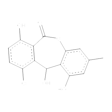 Cc1cc(O)c2c(c1)OC(=O)c1c(O)ccc(O)c1C2O